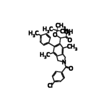 Cc1ccc(-c2c(C)c3c(c(C)c2C(OC(C)(C)C)C(=O)O)CN(C(=O)c2ccc(Cl)cc2)C3)cc1